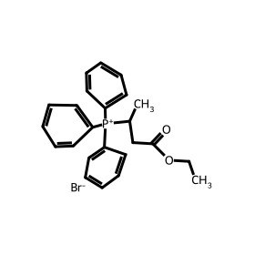 CCOC(=O)CC(C)[P+](c1ccccc1)(c1ccccc1)c1ccccc1.[Br-]